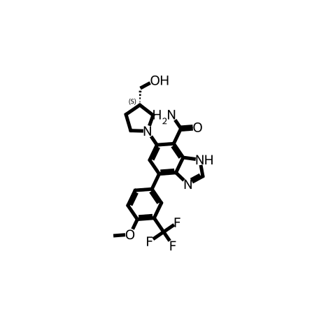 COc1ccc(-c2cc(N3CC[C@H](CO)C3)c(C(N)=O)c3[nH]cnc23)cc1C(F)(F)F